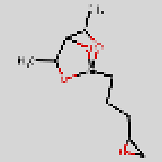 CC1O[Si]2(CCCC3CO3)OC(C)C1O2